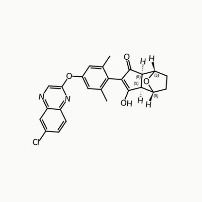 Cc1cc(Oc2cnc3cc(Cl)ccc3n2)cc(C)c1C1=C(O)[C@H]2[C@@H](C1=O)[C@@H]1CC[C@H]2O1